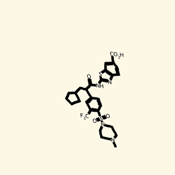 CN1CCN(S(=O)(=O)c2ccc(C(CC3CCCC3)C(=O)Nc3nc4ccc(C(=O)O)cc4s3)cc2C(F)(F)F)CC1